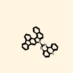 c1ccc2c(c1)Sc1cccc3nc(-n4c5ccc6ccccc6c5c5c6cccc7c6c(cc54)-c4ccccc4-7)nc-2c13